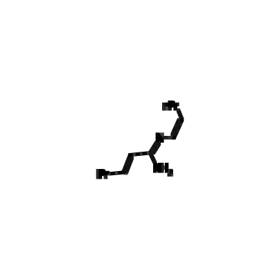 CCC\C=C/N=C(N)/C=C/C(C)C